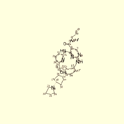 C=CCNC(=O)c1cnc(Nc2ccc([C@H]3CC[C@@H](N4CCCC4)CC3)cc2)nc1Nc1cccc(C(C)(C)O)n1